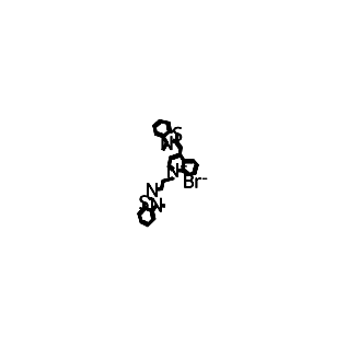 CN1C(=Cc2cc[n+](CCCN=c3sc4ccccc4n3C)c3ccccc23)Sc2ccccc21.[Br-]